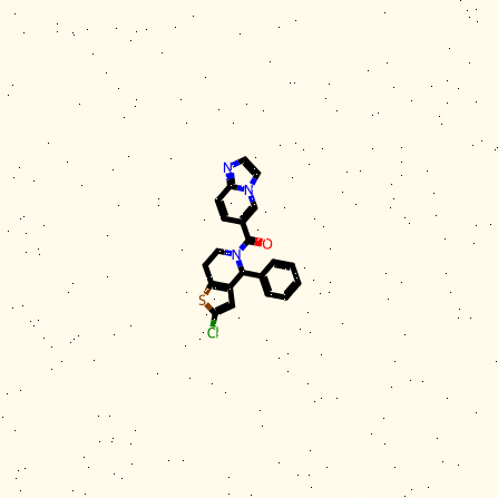 O=C(c1ccc2nccn2c1)N1CCc2sc(Cl)cc2C1c1ccccc1